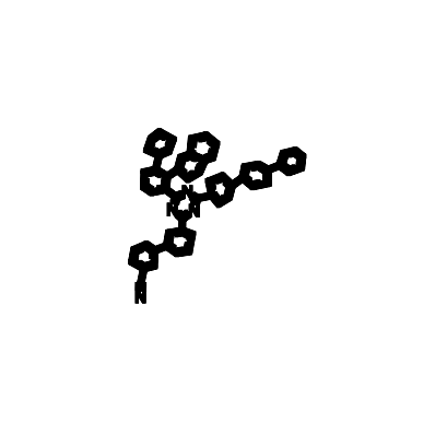 N#Cc1cccc(-c2cccc(-c3nc(-c4ccc(-c5ccc(-c6ccccc6)cc5)cc4)nc(-c4cccc(-c5ccccc5)c4-c4ccc5ccccc5c4)n3)c2)c1